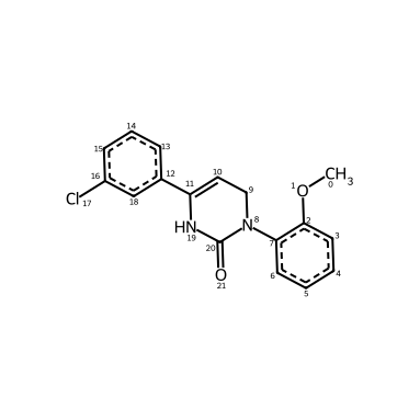 COc1ccccc1N1CC=C(c2cccc(Cl)c2)NC1=O